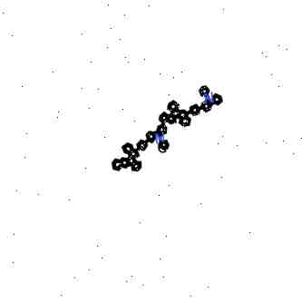 c1ccc(-n2c3ccccc3c3ccc(-c4ccc(-c5cc6c7ccccc7c7c8cccc(-c9ccc%10c(c9)c9ccc(-c%11ccc(-c%12cc%13c%14ccccc%14c%14cc%15ccccc%15cc%14c%13c%13ccccc%12%13)cc%11)cc9n%10-c9ccccc9)c8ccc7c6c6ccccc56)cc4)cc32)cc1